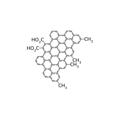 Cc1cc2ccc3c4cccc5c6c(C(=O)O)c(C(=O)O)c7c8cccc9c%10ccc%11cc(C)cc%12c%13cc(C)c%14c%15c(C)cc%16c(c1)c2c3c1c%16c%15c2c(c6c7c3c(c98)c(c%10c%11%12)c%13c%14c32)c1c45